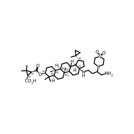 CC1([C@@H]2CC[C@]3(NCCC(CN)N4CCS(=O)(=O)CC4)CC[C@]4(C)[C@H](CC[C@@H]5[C@@]6(C)CC[C@H](OC(=O)[C@H]7[C@@H](C(=O)O)C7(C)C)C(C)(C)[C@@H]6CC[C@]54C)[C@@H]23)CC1